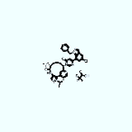 C[C@@H]1CCC[C@H](n2cnc(-c3cc(Cl)cc4cnn(Cc5ccccc5)c34)cc2=O)c2cc(ccn2)-c2c(cnn2C(F)F)NC1=O.O=C(O)C(F)(F)F